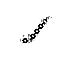 CCCc1cnc(-c2ccc(-c3ccc(-c4cc(F)c(C(F)(F)Oc5cc(F)c(F)c(F)c5)c(F)c4)c(F)c3)cc2)nc1